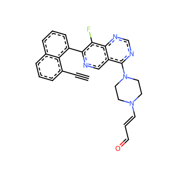 C#Cc1cccc2cccc(-c3ncc4c(N5CCN(C=CC=O)CC5)ncnc4c3F)c12